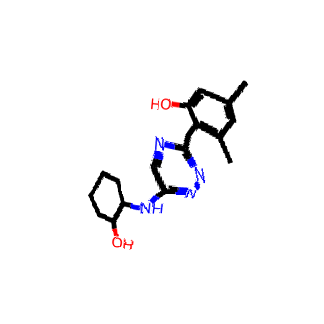 Cc1cc(C)c(-c2ncc(NC3CCCCC3O)nn2)c(O)c1